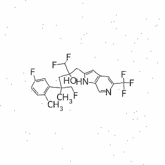 Cc1ccc(F)cc1C(C)(CF)CC(O)(Cc1cc2cc(C(F)(F)F)ncc2[nH]1)C(F)F